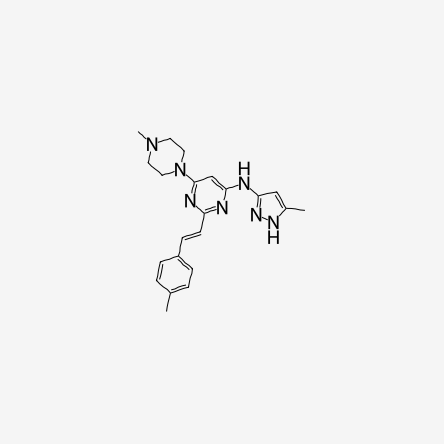 Cc1ccc(/C=C/c2nc(Nc3cc(C)[nH]n3)cc(N3CCN(C)CC3)n2)cc1